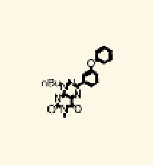 CCCCn1nc(-c2cccc(Oc3ccccc3)c2)nc2c(=O)n(C)c(=O)nc1-2